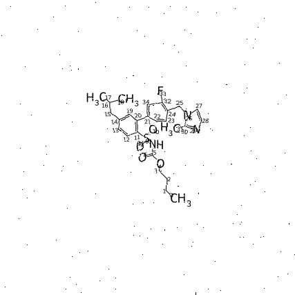 CCCCOC(=O)NS(=O)(=O)c1ccc(CC(C)C)cc1-c1ccc(Cn2ccnc2C)c(F)c1